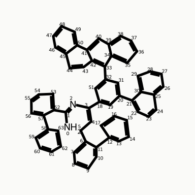 N/C(=N\C(=C/Cc1ccccc1-c1ccccc1)c1cc(-c2cccc3ccccc23)cc(-c2c3ccccc3cc3c2ccc2ccccc23)c1)c1ccccc1-c1ccccc1